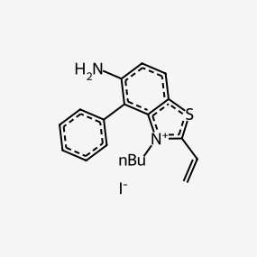 C=Cc1sc2ccc(N)c(-c3ccccc3)c2[n+]1CCCC.[I-]